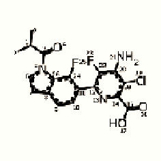 CC(C)C(=O)n1ccc2ccc(-c3nc(C(=O)O)c(Cl)c(N)c3F)c(F)c21